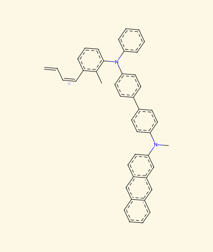 C=C/C=C\c1cccc(N(c2ccccc2)c2ccc(-c3ccc(N(C)c4ccc5cc6ccccc6cc5c4)cc3)cc2)c1C